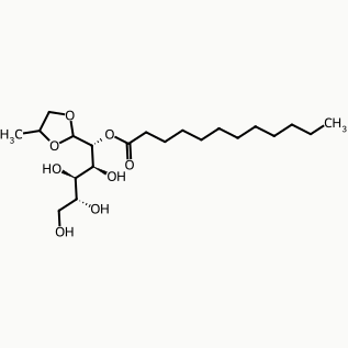 CCCCCCCCCCCC(=O)O[C@@H](C1OCC(C)O1)[C@@H](O)[C@H](O)[C@H](O)CO